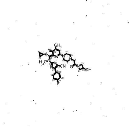 Cc1cc(N2CCN(CC(=O)N3CC(O)C3)CC2)nc2c(N(C)c3nc(-c4ccc(F)cc4)c(C#N)s3)n(C3CC3)nc12